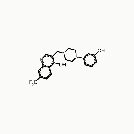 Oc1cccc(N2CCN(Cc3cnc4cc(C(F)(F)F)ccc4c3O)CC2)c1